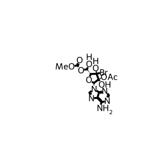 COC(=O)OC(O)[C@H]1O[C@@H](n2cnc3c(N)ncnc32)[C@@](O)(OC(C)=O)[C@@]1(O)Br